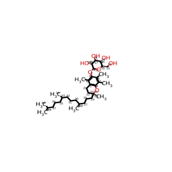 Cc1c(C)c2c(c(C)c1O[C@@H]1O[C@H](CO)[C@@H](O)[C@H](O)[C@H]1O)CC[C@@](C)(CCCC(C)CCCC(C)CCCC(C)C)O2